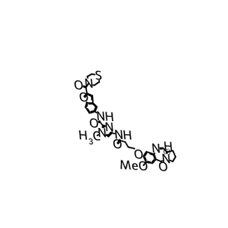 COc1cc2c(cc1OCCCC(=O)Nc1cn(C)c(C(=O)Nc3ccc4oc(C(=O)N5CCSCC5)cc4c3)n1)N=C[C@@H]1CCCN1C2=O